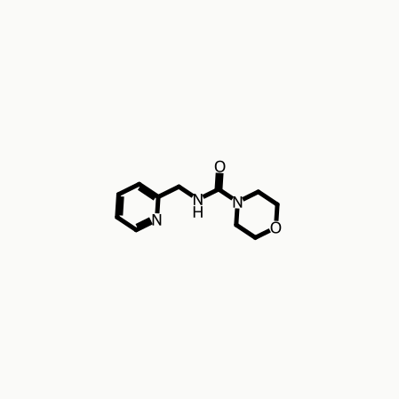 O=C(NCc1ccccn1)N1CCOCC1